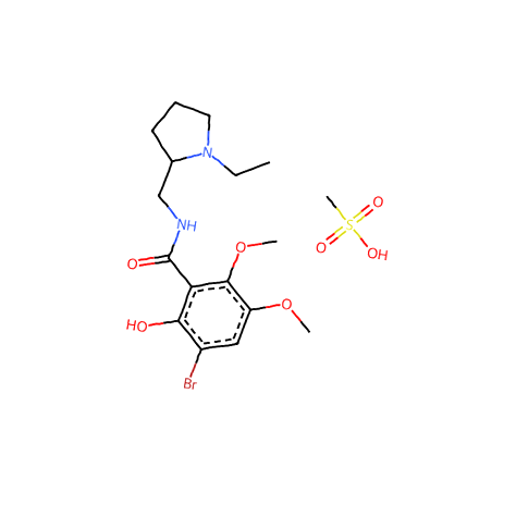 CCN1CCCC1CNC(=O)c1c(O)c(Br)cc(OC)c1OC.CS(=O)(=O)O